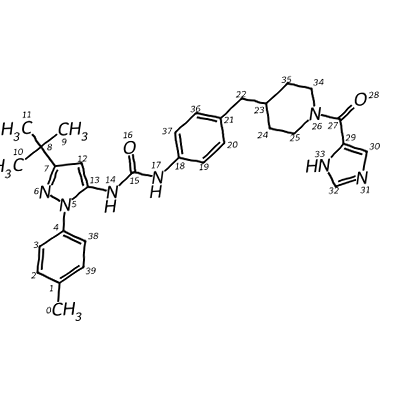 Cc1ccc(-n2nc(C(C)(C)C)cc2NC(=O)Nc2ccc(CC3CCN(C(=O)c4cnc[nH]4)CC3)cc2)cc1